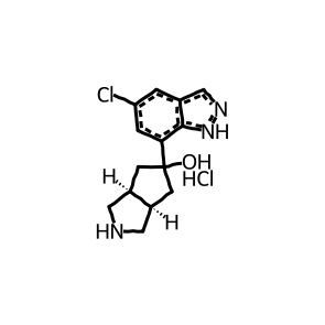 Cl.OC1(c2cc(Cl)cc3cn[nH]c23)C[C@H]2CNC[C@H]2C1